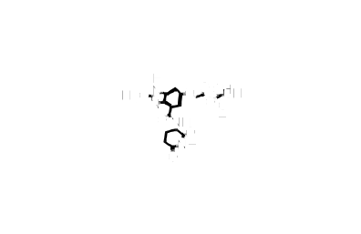 Cc1nc2c(C(=O)NC3CCC(=O)NC3=O)cc(OCC(=O)OC(C)(C)C)cc2[nH]1